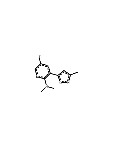 Cc1cc(-c2nc(Br)cnc2N(C)C)on1